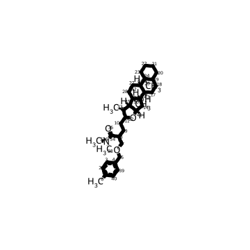 Cc1ccc(COCC(CCC2O[C@H]3C[C@H]4[C@@H]5CCC6CCCC[C@]6(C)[C@H]5CC[C@]4(C)[C@H]3[C@@H]2C)C(=O)N(C)C)cc1